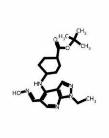 CCn1ncc2c(NC3CCC(C(=O)OC(C)(C)C)CC3)c(C=NO)cnc21